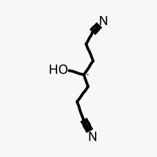 N#CCC[C](O)CCC#N